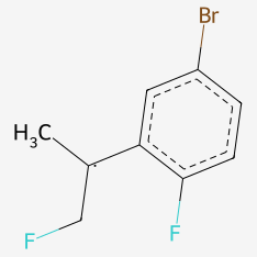 C[C](CF)c1cc(Br)ccc1F